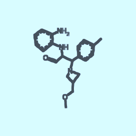 COCC1CN(C(c2ccc(C)cc2)C(C=O)Nc2ccccc2N)C1